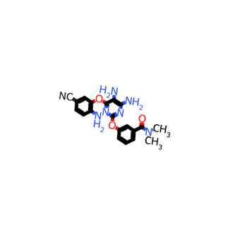 CN(C)C(=O)c1cccc(Oc2nc(N)c(N)c(Oc3cc(C#N)ccc3N)n2)c1